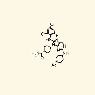 CC(=O)N1CCC(Nc2ncc3nc(Nc4c(F)cc(Cl)cc4Cl)n([C@H]4CC[C@@H](C(N)=O)CC4)c3n2)CC1